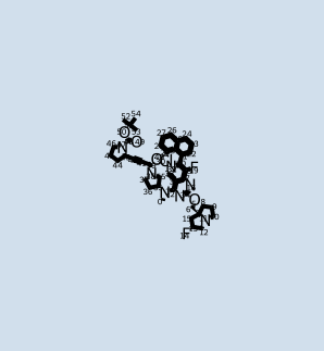 CN(c1nc(OC[C@@]23CCCN2C[C@H](F)C3)nc2c(F)c(-c3cccc4cccc(Cl)c34)ncc12)[C@@H]1CCN(C(=O)C#CC2CCCN2C(=O)OC(C)(C)C)C1